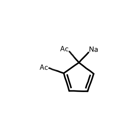 CC(=O)C1=CC=C[C]1([Na])C(C)=O